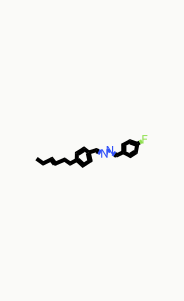 CC/C=C/CCc1ccc(/C=N/N=C/c2ccc(F)cc2)cc1